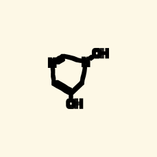 OC1=CN=CN(O)C1